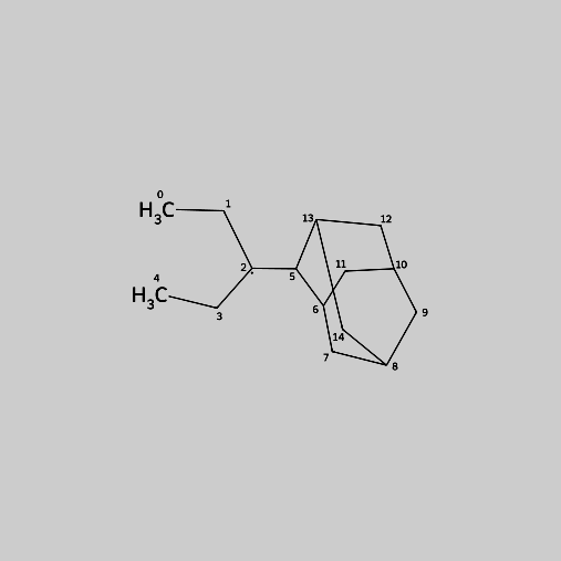 CC[C](CC)C1C2CC3CC(C2)CC1C3